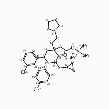 CC(C)[Si](OCCC1(CCN2CCCC2)C[C@H](c2cccc(Cl)c2)[C@@H](c2ccc(Cl)cc2)N(CC2CC2)C1=O)(C(C)C)C(C)C